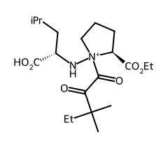 CCOC(=O)[C@@H]1CCC[N+]1(N[C@@H](CC(C)C)C(=O)O)C(=O)C(=O)C(C)(C)CC